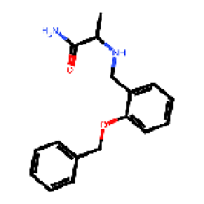 CC(NCc1ccccc1OCc1ccccc1)C(N)=O